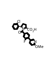 COc1ccc(-c2ccc(C(=O)N3[C@@H](c4ccccc4Cl)CC[C@H]3C(=O)O)cc2F)cn1